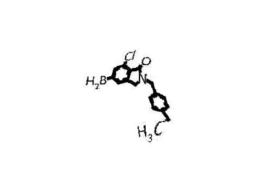 Bc1cc(Cl)c2c(c1)CN(Cc1ccc(CC)cc1)C2=O